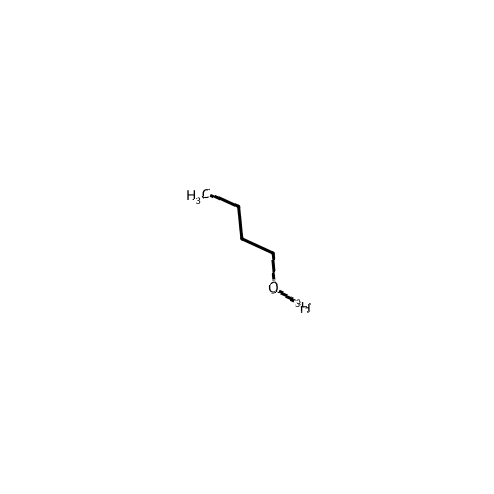 [3H]OCCCC